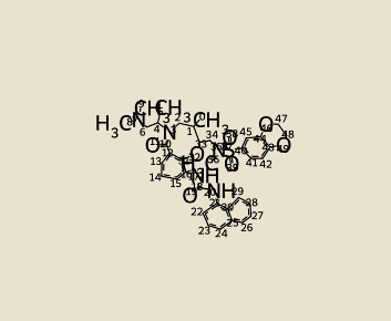 CC1CN(C(C)CN(C)C)C(=O)c2cccc(NC(=O)Nc3cccc4ccccc34)c2OC1CN(C)S(=O)(=O)c1ccc2c(c1)OCCO2